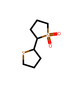 O=S1(=O)CCC[C]1C1CCCS1